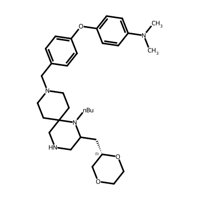 CCCCN1C(C[C@H]2COCCO2)CNCC12CCN(Cc1ccc(Oc3ccc(N(C)C)cc3)cc1)CC2